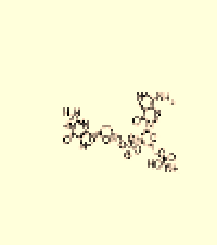 Nc1nc2c(ncn2[C@H]2CC[C@@H](COP(=O)(O)O[C@H]3C[C@H](n4cnc5c(N)cncc5c4=O)O[C@@H]3COP(=O)(O)O)O2)c(=O)[nH]1